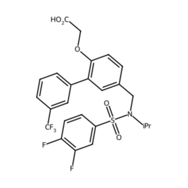 CC(C)N(Cc1ccc(OCC(=O)O)c(-c2cccc(C(F)(F)F)c2)c1)S(=O)(=O)c1ccc(F)c(F)c1